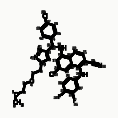 COCCOCCn1cc([C@@H](Nc2cc(Cl)cc3c(Nc4ccc(F)c(F)c4)c(C#N)cnc23)c2ccc(Cl)cc2)nn1